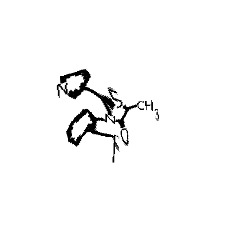 CC1SC(c2cccnc2)N(c2ccccc2F)C1=O